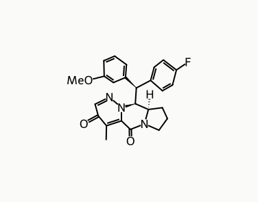 COc1cccc([C@@H](c2ccc(F)cc2)[C@H]2[C@H]3CCCN3C(=O)c3c(C)c(=O)cnn32)c1